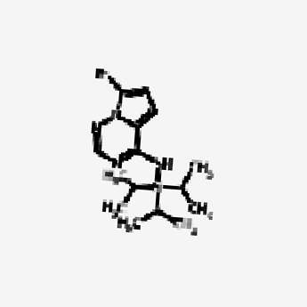 CC(C)[Si](Nc1ncnn2c(Br)ccc12)(C(C)C)C(C)C